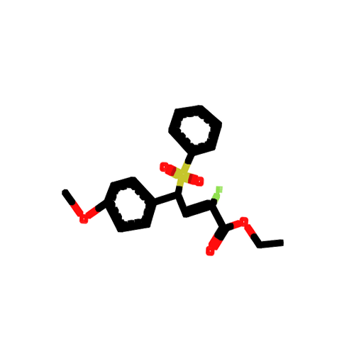 CCOC(=O)/C(F)=C/C(c1ccc(OC)cc1)S(=O)(=O)c1ccccc1